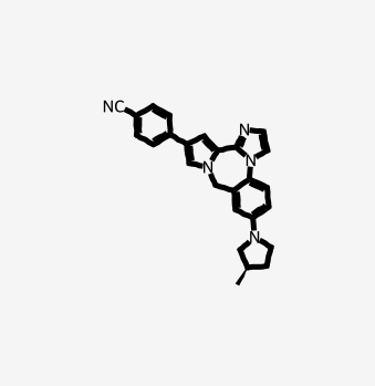 C[C@@H]1CCN(c2ccc3c(c2)Cn2cc(-c4ccc(C#N)cc4)cc2-c2nccn2-3)C1